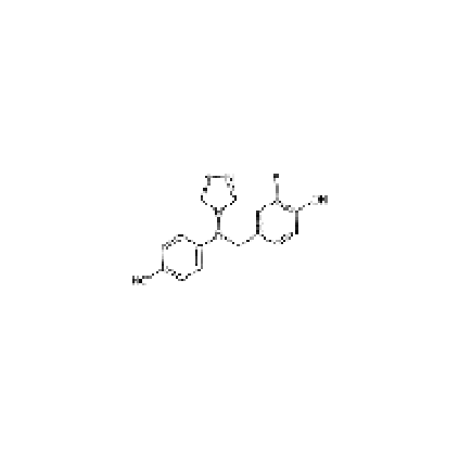 N#Cc1ccc(N(Cc2ccc(O)c(F)c2)n2cnnc2)cc1